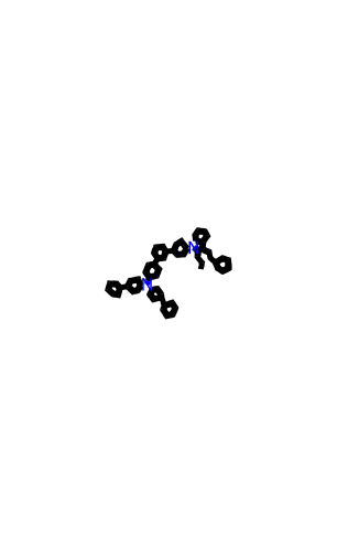 CC/C=c1\c(=C/Cc2ccccc2)c2ccccc2n1-c1ccc(-c2cccc(-c3ccc(N(c4ccc(-c5ccccc5)cc4)c4ccc(-c5ccccc5)cc4)cc3)c2)cc1